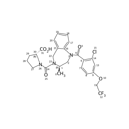 C[C@@H]1CN(C(=O)c2ccc(OCC(F)(F)F)cc2Cl)c2ccccc2CN1C(=O)N1CCC[C@@H]1C(=O)O